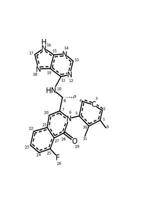 Cc1cccc(-n2c([C@@H](C)Nc3ncnc4[nH]cnc34)cc3cccc(F)c3c2=O)c1C